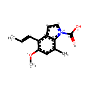 CC=Cc1c(OC)cc(C)c2c1ccn2C(=O)O